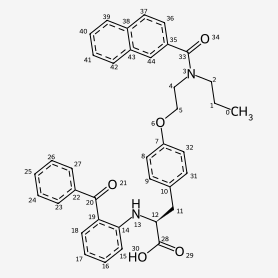 CCCN(CCOc1ccc(C[C@H](Nc2ccccc2C(=O)c2ccccc2)C(=O)O)cc1)C(=O)c1ccc2ccccc2c1